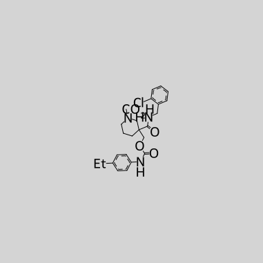 CCc1ccc(NC(=O)OCC2(C(=O)NCc3ccccc3Cl)CCCN(C(=O)O)C2)cc1